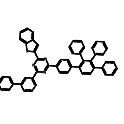 c1ccc(-c2cccc(-c3nc(-c4ccc(-c5ccc(-c6ccccc6)c(-c6ccccc6)c5-c5ccccc5)cc4)nc(-c4cc5ccccc5s4)n3)c2)cc1